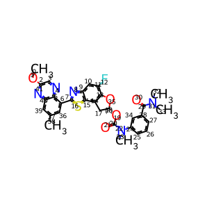 COc1cnc2c(-c3nc4cc(F)c5c(c4s3)C[C@@H](OC(=O)N(C)c3cccc(C(=O)N(C)C)c3)O5)cc(C)cc2n1